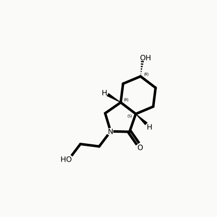 O=C1[C@H]2CC[C@@H](O)C[C@H]2CN1CCO